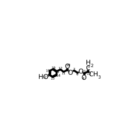 C=C(C)C(=O)OCCOC(=O)CCc1ccc(O)cc1